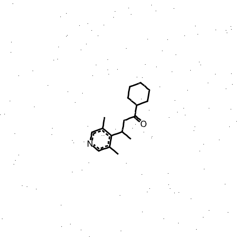 Cc1cncc(C)c1C(C)CC(=O)C1CCCCC1